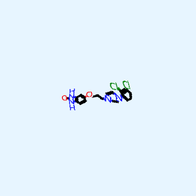 O=c1[nH]c2ccc(OCCCN3CCN(c4cccc(Cl)c4Cl)CC3)cc2[nH]1